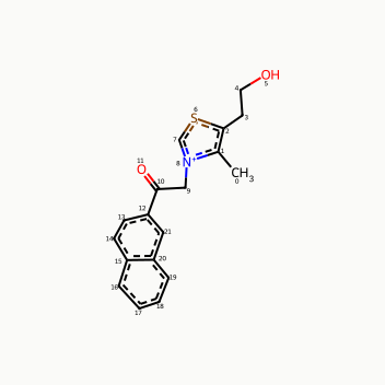 Cc1c(CCO)sc[n+]1CC(=O)c1ccc2ccccc2c1